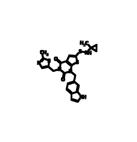 Cc1ncc(Cn2c(=O)c3cc(SNC4(C)CC4)sc3n(Cc3ccc4cc[nH]c4c3)c2=O)s1